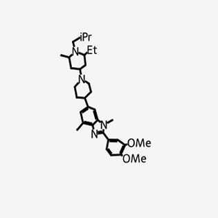 CCC1CC(N2CCC(c3cc(C)c4nc(-c5ccc(OC)c(OC)c5)n(C)c4c3)CC2)CC(C)N1CC(C)C